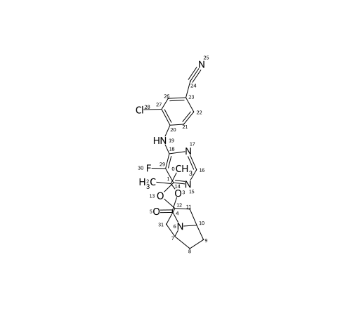 CC(C)OC(=O)N1C2CCC1CC(Oc1ncnc(Nc3ccc(C#N)cc3Cl)c1F)C2